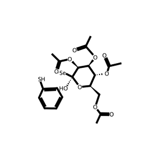 CC(=O)OC[C@H]1O[C@@](O)([Se])[C@@H](OC(C)=O)[C@@H](OC(C)=O)[C@@H]1OC(C)=O.Sc1ccccc1